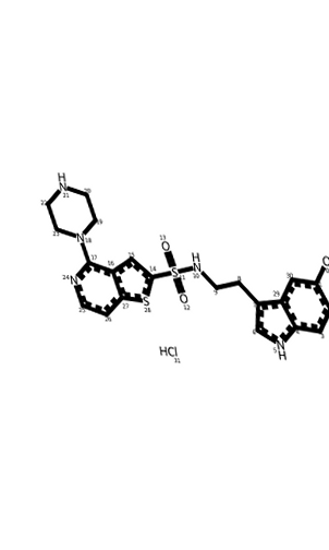 COc1ccc2[nH]cc(CCNS(=O)(=O)c3cc4c(N5CCNCC5)nccc4s3)c2c1.Cl